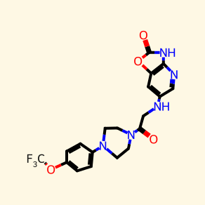 O=C(CNc1cnc2[nH]c(=O)oc2c1)N1CCN(c2ccc(OC(F)(F)F)cc2)CC1